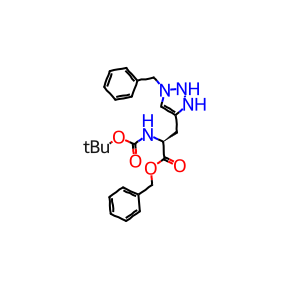 CC(C)(C)OC(=O)N[C@@H](CC1=CN(Cc2ccccc2)NN1)C(=O)OCc1ccccc1